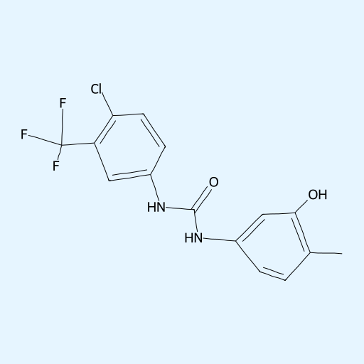 Cc1ccc(NC(=O)Nc2ccc(Cl)c(C(F)(F)F)c2)cc1O